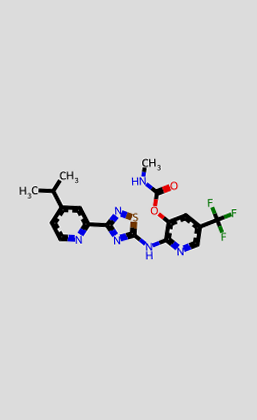 CNC(=O)Oc1cc(C(F)(F)F)cnc1Nc1nc(-c2cc(C(C)C)ccn2)ns1